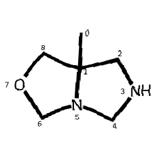 CC12CNCN1COC2